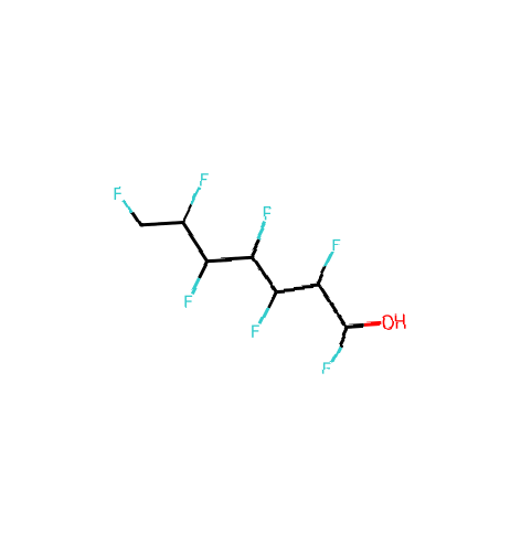 OC(F)C(F)C(F)C(F)C(F)C(F)CF